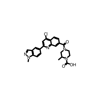 CC1CN(C(=O)c2ccc3c(Cl)cc(-c4ccc5c(cnn5C)c4)nc3c2)CCN1C(=O)O